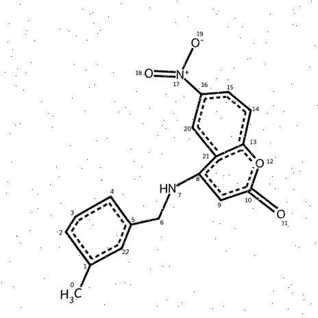 Cc1cccc(CNc2cc(=O)oc3ccc([N+](=O)[O-])cc23)c1